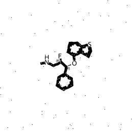 CNC[C@@H](F)[C@H](Oc1cccc2sccc12)c1ccccc1